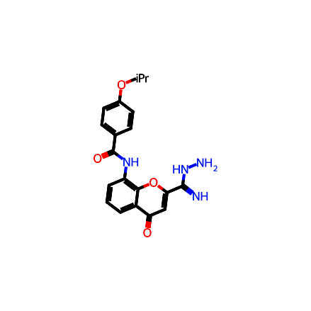 CC(C)Oc1ccc(C(=O)Nc2cccc3c(=O)cc(C(=N)NN)oc23)cc1